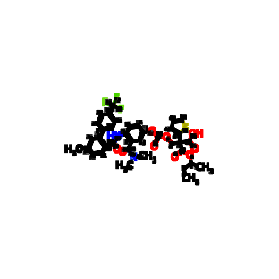 CCC(C)OC(=O)C(COC(=O)Oc1ccc(NC(=O)c2ccc(C)cc2-c2ccc(C(F)(F)F)cc2)c(C(=O)N(C)C)c1)(C(=O)O)c1cccs1